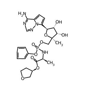 C[C@H](NP(=O)(OC[C@@]1(C)O[C@@H](c2ccc3c(N)ncnn23)[C@H](O)[C@@H]1O)Oc1ccccc1)C(=O)O[C@@H]1CCOC1